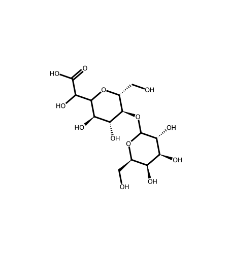 O=C(O)C(O)C1O[C@H](CO)[C@@H](OC2O[C@H](CO)[C@H](O)[C@H](O)[C@H]2O)[C@H](O)[C@H]1O